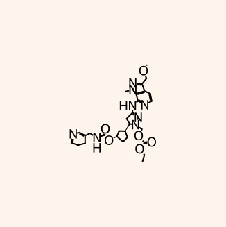 CCOC(=O)OCN1N=C(Nc2nccc3c(COC)nn(C)c23)CC1[C@H]1CC[C@@H](OC(=O)NCC2=CN=CCC2)C1